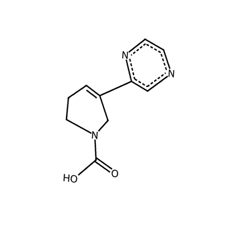 O=C(O)N1CCC=C(c2cnccn2)C1